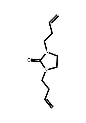 C=CCCN1CCN(CCC=C)C1=O